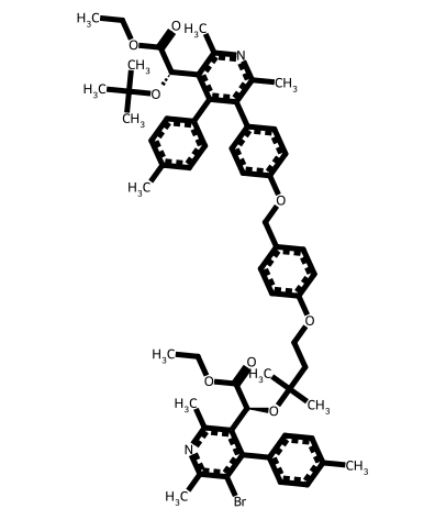 CCOC(=O)[C@@H](OC(C)(C)CCOc1ccc(COc2ccc(-c3c(C)nc(C)c([C@H](OC(C)(C)C)C(=O)OCC)c3-c3ccc(C)cc3)cc2)cc1)c1c(C)nc(C)c(Br)c1-c1ccc(C)cc1